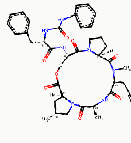 C#CC[C@H]1C(=O)N[C@@H](C)C(=O)N2C[C@H](C)C[C@H]2C(=O)OC[C@H](NC(=O)[C@H](Cc2ccccc2)NC(=O)Nc2ccccc2)C(=O)N2CCC[C@H]2C(=O)N1C